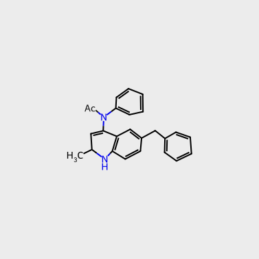 CC(=O)N(C1=CC(C)Nc2ccc(Cc3ccccc3)cc21)c1ccccc1